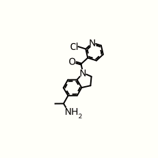 CC(N)c1ccc2c(c1)CCN2C(=O)c1cccnc1Cl